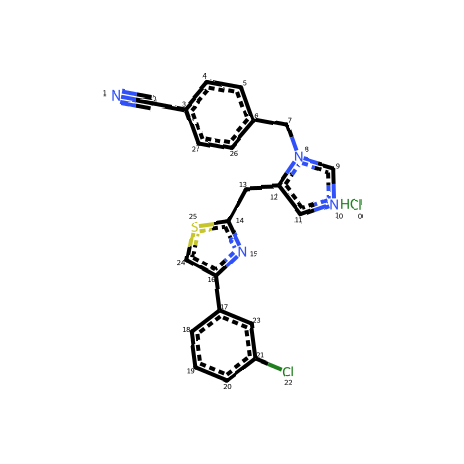 Cl.N#Cc1ccc(Cn2cncc2Cc2nc(-c3cccc(Cl)c3)cs2)cc1